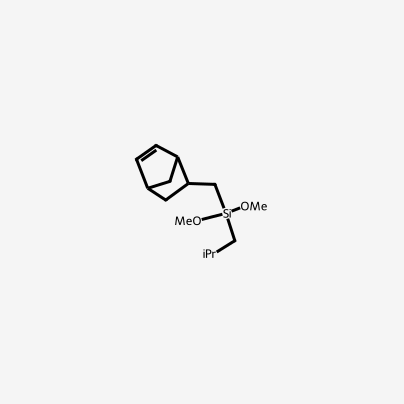 CO[Si](CC(C)C)(CC1CC2C=CC1C2)OC